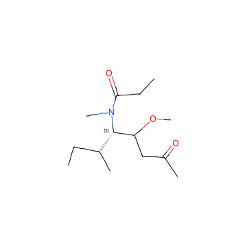 CCC(=O)N(C)[C@@H](C(C)CC)C(CC(C)=O)OC